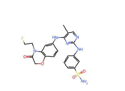 Cc1cnc(Nc2cccc(S(N)(=O)=O)c2)nc1Nc1ccc2c(c1)N(CCF)C(=O)CO2